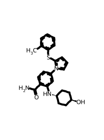 Cc1ccccc1Sc1cccn1-c1ccc(C(N)=O)c(N[C@H]2CC[C@H](O)CC2)c1